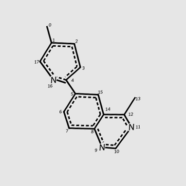 Cc1ccc(-c2ccc3ncnc(C)c3c2)nc1